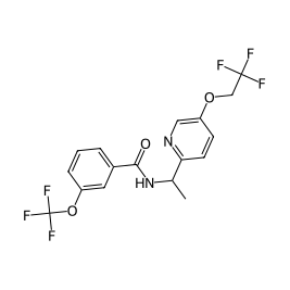 CC(NC(=O)c1cccc(OC(F)(F)F)c1)c1ccc(OCC(F)(F)F)cn1